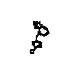 N/N=c1\ccccn1Cc1cnc(Cl)s1